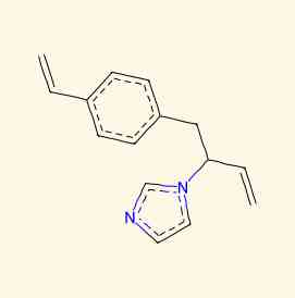 C=Cc1ccc(CC(C=C)n2ccnc2)cc1